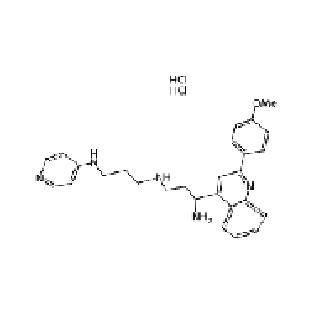 COc1ccc(-c2cc(C(N)CCNCCCNc3ccncc3)c3ccccc3n2)cc1.Cl.Cl